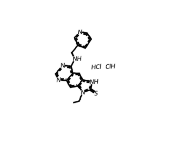 CCn1c(=S)[nH]c2cc3c(NCc4cccnc4)ncnc3cc21.Cl.Cl